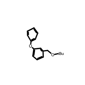 CCC(C)OCc1cccc(Oc2ccccc2)c1